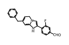 O=Cc1ccc(C2=CN3CC=C(Cc4ccccc4)C=C3N2)c(F)c1